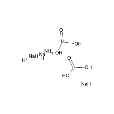 N.O=C(O)O.O=C(O)O.[H+].[NaH].[NaH].[NaH]